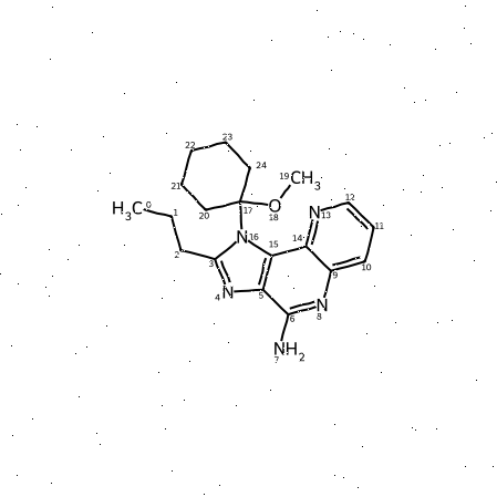 CCCc1nc2c(N)nc3cccnc3c2n1C1(OC)CCCCC1